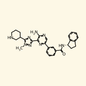 Cn1nc(-c2nc(-c3cccc(C(=O)N[C@H]4CCc5ccccc54)c3)cnc2N)nc1C1CCCNC1